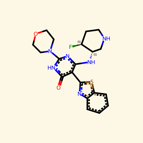 O=c1[nH]c(N2CCOCC2)nc(N[C@H]2CNCC[C@@H]2F)c1-c1nc2ccccc2s1